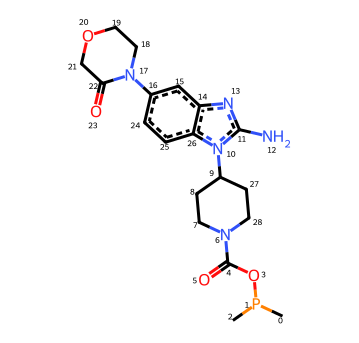 CP(C)OC(=O)N1CCC(n2c(N)nc3cc(N4CCOCC4=O)ccc32)CC1